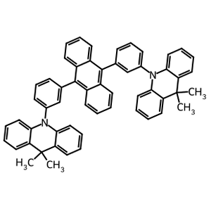 CC1(C)c2ccccc2N(c2cccc(-c3c4ccccc4c(-c4cccc(N5c6ccccc6C(C)(C)c6ccccc65)c4)c4ccccc34)c2)c2ccccc21